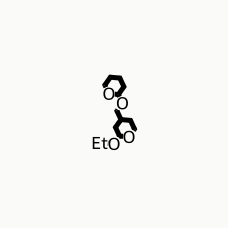 CCOC1CC(COC2CCCCO2)CCO1